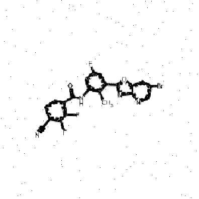 Cc1c(NC(=O)c2ccc(C#N)c(F)c2F)cc(F)cc1-c1nc2ncc(Br)cc2o1